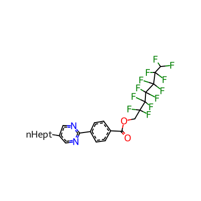 CCCCCCCc1cnc(-c2ccc(C(=O)OCC(F)(F)C(F)(F)C(F)(F)C(F)(F)C(F)(F)C(F)F)cc2)nc1